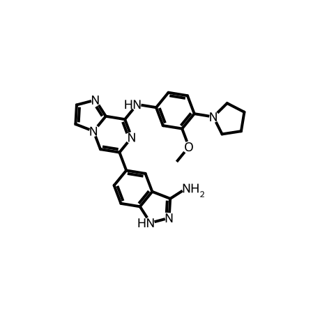 COc1cc(Nc2nc(-c3ccc4[nH]nc(N)c4c3)cn3ccnc23)ccc1N1CCCC1